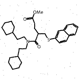 COC(=O)CCC(CSc1ccc2ccccc2c1)C(=O)N(CCC1CCCCC1)CCC1CCCCC1